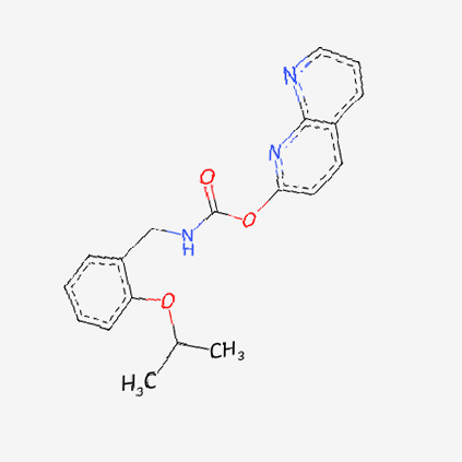 CC(C)Oc1ccccc1CNC(=O)Oc1ccc2cccnc2n1